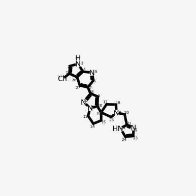 Clc1c[nH]c2ncc(-c3cc4n(n3)CCCC43CCN(Cc4ncc[nH]4)C3)cc12